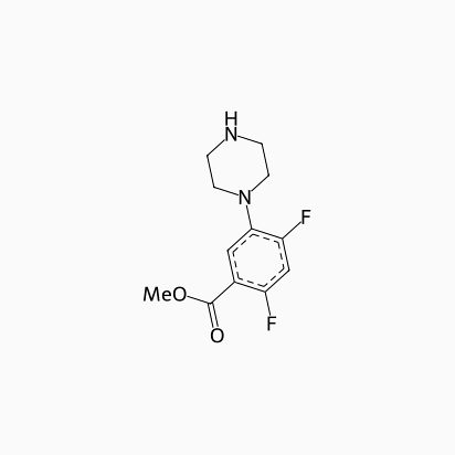 COC(=O)c1cc(N2CCNCC2)c(F)cc1F